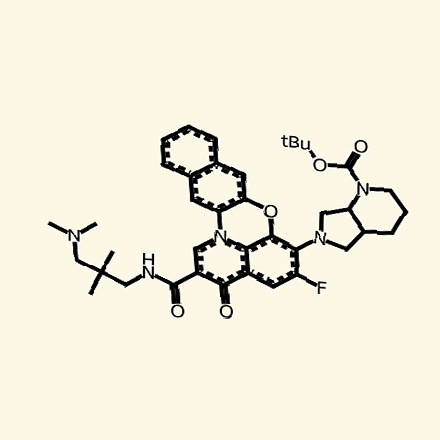 CN(C)CC(C)(C)CNC(=O)c1cn2c3c(c(N4CC5CCCN(C(=O)OC(C)(C)C)C5C4)c(F)cc3c1=O)Oc1cc3ccccc3cc1-2